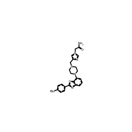 CC(C)(C)c1ccc(-c2nc3cccc(N4CCN(Cc5cn(CC(N)=O)cn5)CC4)c3o2)cc1